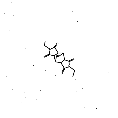 CCN1C(=O)C2C3C=CC(C2C1=O)C1C(=O)N(CC)C(=O)C31